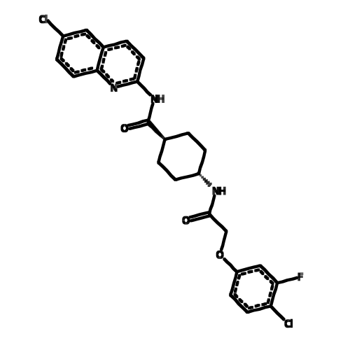 O=C(COc1ccc(Cl)c(F)c1)N[C@H]1CC[C@H](C(=O)Nc2ccc3cc(Cl)ccc3n2)CC1